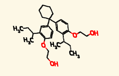 CCC(C)c1cc(C2(c3ccc(OCCO)c(C(C)CC)c3)CCCCC2)ccc1OCCO